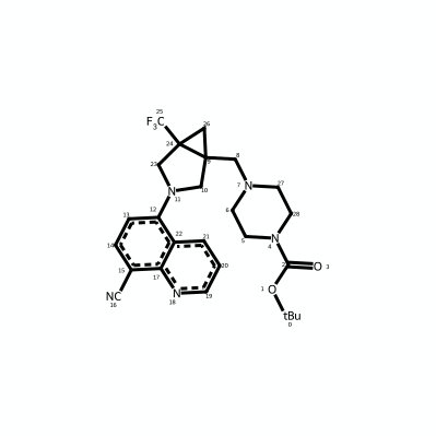 CC(C)(C)OC(=O)N1CCN(CC23CN(c4ccc(C#N)c5ncccc45)CC2(C(F)(F)F)C3)CC1